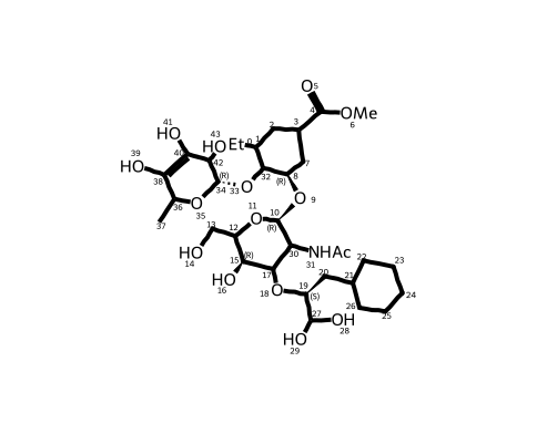 CCC1CC(C(=O)OC)C[C@@H](O[C@@H]2OC(CO)[C@H](O)C(O[C@@H](CC3CCCCC3)C(O)O)C2NC(C)=O)C1O[C@@H]1OC(C)C(O)=C(O)C1O